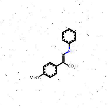 COc1ccc(C(=CNc2ccccc2)C(=O)O)cc1